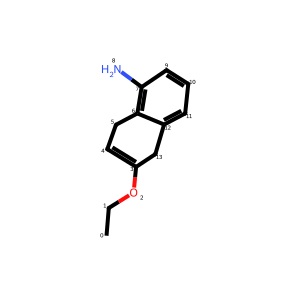 CCOC1=CCc2c(N)cccc2C1